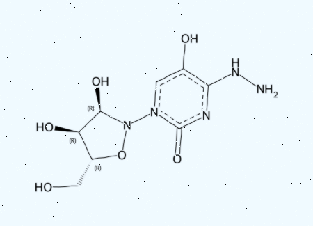 NNc1nc(=O)n(N2O[C@H](CO)[C@@H](O)[C@H]2O)cc1O